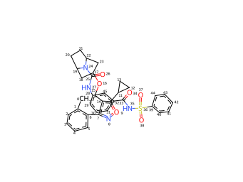 Cc1ccccc1-c1noc(C2CC2)c1COC1CC2CCC(C1)N2C(=O)Nc1cccc(C(=O)NS(=O)(=O)c2ccccc2)c1